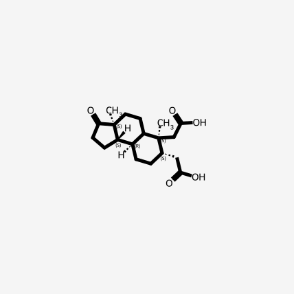 C[C@]12CCC3[C@@H](CC[C@@H](CC(=O)O)[C@]3(C)CC(=O)O)[C@@H]1CCC2=O